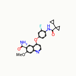 COc1cc2nccc(Oc3ccc(NC(=O)C4(C5CC5)CC4)c(F)c3)c2cc1C(N)=O